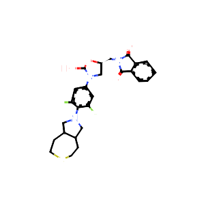 O=C1c2ccccc2C(=O)N1C[C@H]1CN(c2cc(F)c(N3CC4CCSCCC4C3)c(F)c2)C(O)O1